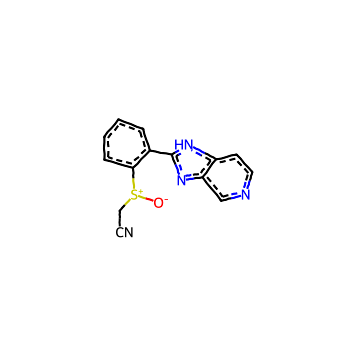 N#CC[S+]([O-])c1ccccc1-c1nc2cnccc2[nH]1